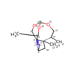 CC1CNC2CC3COB(OC1)OCC(C)C3(C)C2